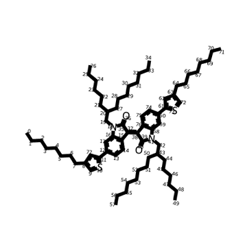 CCCCCCCCc1csc(-c2ccc3c(c2)N(CC(CCCCCC)CCCCCCCC)C(=O)C3=C2C(=O)N(CC(CCCCCC)CCCCCCCC)c3cc(-c4cc(CCCCCCCC)cs4)ccc32)c1